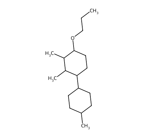 CCCOC1CCC(C2CCC(C)CC2)C(C)C1C